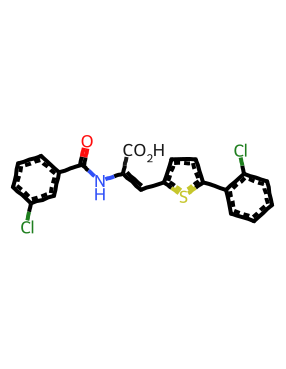 O=C(O)/C(=C\c1ccc(-c2ccccc2Cl)s1)NC(=O)c1cccc(Cl)c1